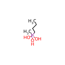 CCCCP(C)(O)(O)O